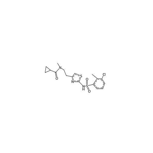 Cc1c(Cl)cccc1S(=O)(=O)Nc1nc(CCN(C)C(=O)C2CC2)cs1